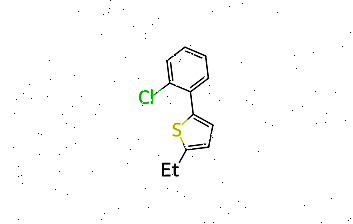 CCc1ccc(-c2ccccc2Cl)s1